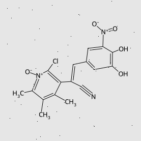 Cc1c(C)c(C)[n+]([O-])c(Cl)c1C(C#N)=Cc1cc(O)c(O)c([N+](=O)[O-])c1